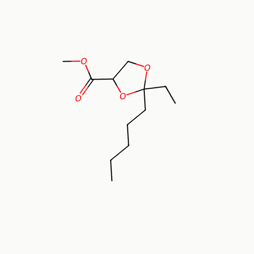 CCCCCC1(CC)OCC(C(=O)OC)O1